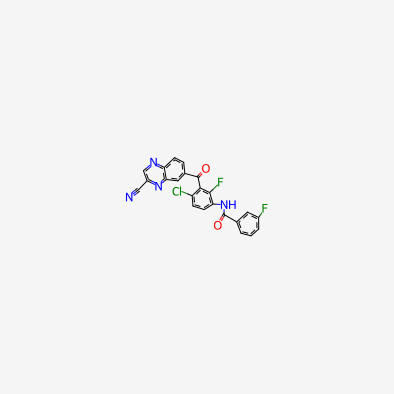 N#Cc1cnc2ccc(C(=O)c3c(Cl)ccc(NC(=O)c4cccc(F)c4)c3F)cc2n1